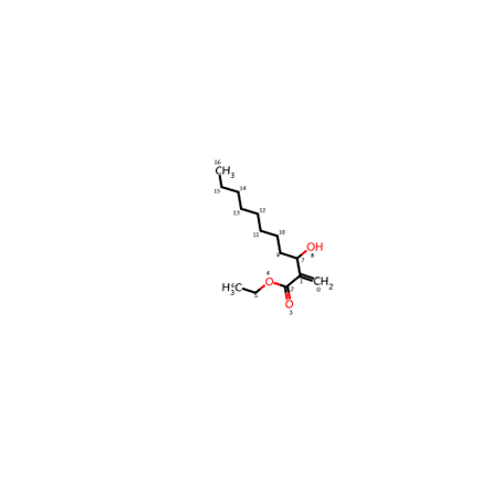 C=C(C(=O)OCC)C(O)CCCCCCCC